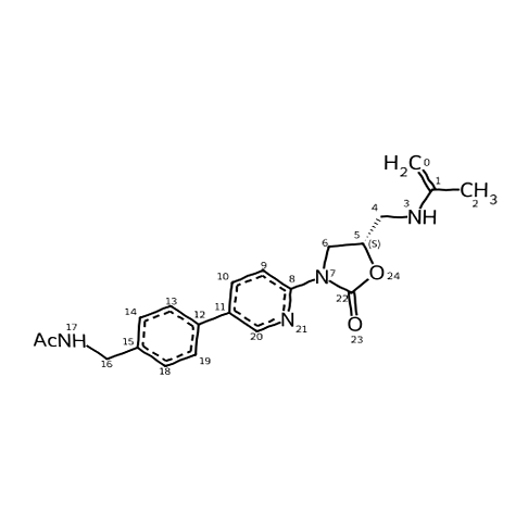 C=C(C)NC[C@H]1CN(c2ccc(-c3ccc(CNC(C)=O)cc3)cn2)C(=O)O1